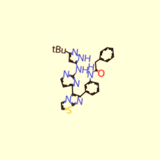 CC(C)(C)c1cc(Nc2nccc(-c3c(-c4cccc(NC(=O)Cc5ccccc5)c4)nc4sccn34)n2)[nH]n1